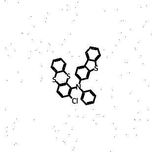 Clc1ccc2c(c1N(c1ccccc1)c1ccc3c(c1)sc1ccccc13)Sc1ccccc1S2